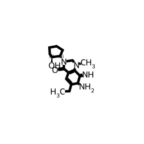 CCC1=CC2=C(C(=N)C1N)N(C)CN([C@H]1CCCC[C@@H]1O)C2=O